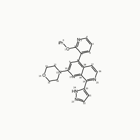 CC(C)Oc1ncccc1-c1cc(N2CCOCC2)nc2c(-c3ccn[nH]3)nccc12